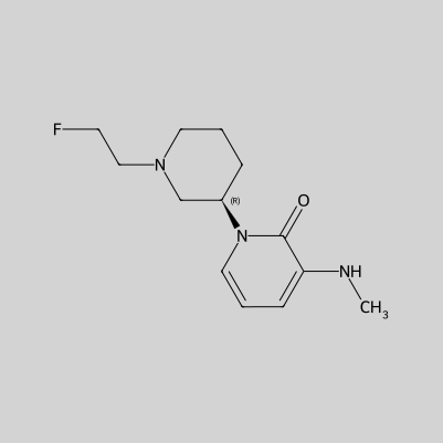 CNc1cccn([C@@H]2CCCN(CCF)C2)c1=O